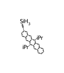 CC(C)c1c2cc3ccccc3cc2c(C(C)C)c2cc3cc(C#C[SiH3])ccc3cc12